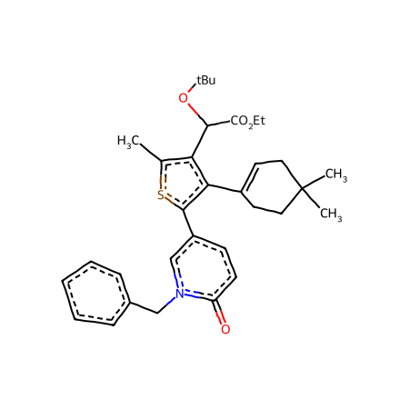 CCOC(=O)C(OC(C)(C)C)c1c(C)sc(-c2ccc(=O)n(Cc3ccccc3)c2)c1C1=CCC(C)(C)CC1